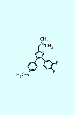 CSc1ccc(-c2cc(CN(C)C)sc2-c2ccc(F)c(F)c2)cc1